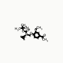 COc1cc(C(C)=O)ccc1OCN(C(=O)OC(C)(C)C)C1CC1